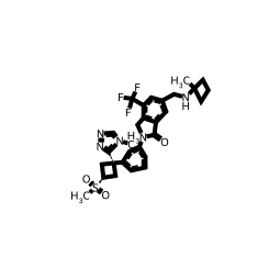 Cn1cnnc1[C@]1(c2cccc(N3Cc4c(cc(CNC5(C)CCC5)cc4C(F)(F)F)C3=O)c2)C[C@H](S(C)(=O)=O)C1